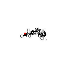 C[C@@H](OC(=O)Nc1c(-c2ccc(C(=O)NC34CC(Cl)(C3)C4)cn2)nnn1C)c1cccnc1Cl